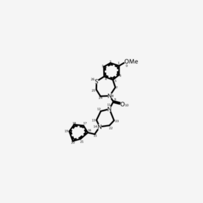 COc1ccc2c(c1)CN(C(=O)N1CCN(Cc3ccccc3)CC1)CCS2